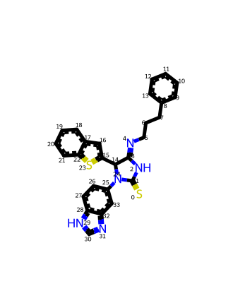 S=C1NC(=NCCCc2ccccc2)C(c2cc3ccccc3s2)N1c1ccc2[nH]cnc2c1